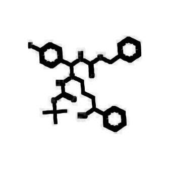 CC(C)(C)OC(=O)NN(CCCC(O)c1ccccc1)C(NC(=O)OCc1ccccc1)c1ccc(F)cc1